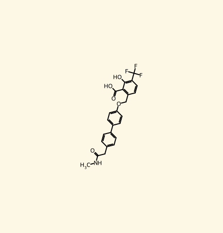 CNC(=O)Cc1ccc(-c2ccc(OCc3ccc(C(F)(F)F)c(O)c3C(=O)O)cc2)cc1